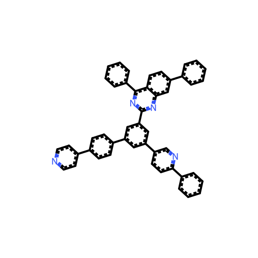 c1ccc(-c2ccc3c(-c4ccccc4)nc(-c4cc(-c5ccc(-c6ccncc6)cc5)cc(-c5ccc(-c6ccccc6)nc5)c4)nc3c2)cc1